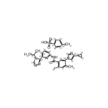 Cc1cc(F)c(C(=O)Nc2cccc(-c3nncn3C(C)C)n2)cc1-n1cnc(C2CC2)c1.Cc1ccc(S(=O)(=O)O)cc1